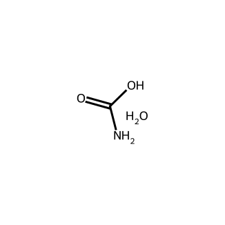 NC(=O)O.O